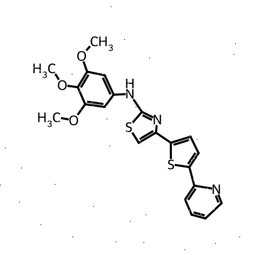 COc1cc(Nc2nc(-c3ccc(-c4ccccn4)s3)cs2)cc(OC)c1OC